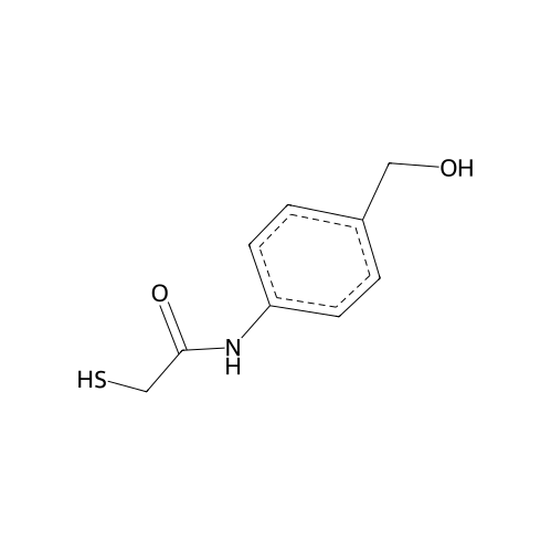 O=C(CS)Nc1ccc(CO)cc1